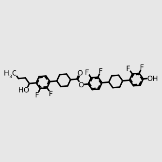 CCCC(O)c1ccc(C2CCC(C(=O)Oc3ccc(C4CCC(c5ccc(O)c(F)c5F)CC4)c(F)c3F)CC2)c(F)c1F